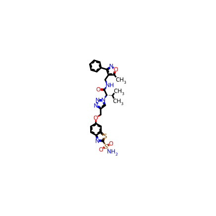 Cc1onc(-c2ccccc2)c1CNC(=O)[C@H](C(C)C)n1cc(COc2ccc3nc(S(N)(=O)=O)sc3c2)nn1